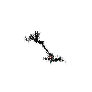 Cc1ncsc1-c1ccc(CNC(=O)[C@@H]2C[C@@H](O)CN2C(=O)C(NC(=O)CCOCCOCCOCCC(=O)N2CC=C(c3cc(NC(=O)c4c[nH]c(=O)cc4C(F)(F)F)c(N4C[C@@H](C)N(C)[C@@H](C)C4)cc3F)CC2)C(C)(C)C)cc1